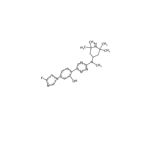 CN(c1ncc(-c2ccc(-n3cnc(F)c3)cc2O)nn1)C1CC(C)(C)NC(C)(C)C1